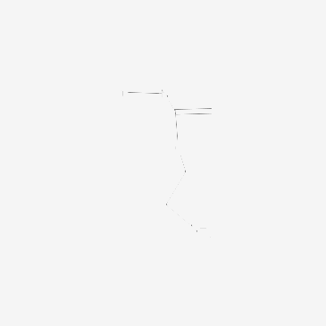 C=C(CCCN)NC(C)C